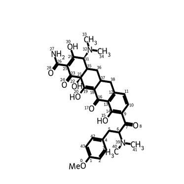 COc1ccc(CC(C(=O)c2ccc3c(c2O)C(=O)C2=C(O)[C@]4(O)C(=O)C(C(N)=O)=C(O)[C@@H](N(C)C)C4CC2C3)N(C)C)cc1